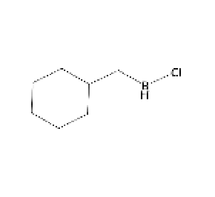 ClBCC1CCCCC1